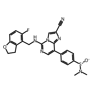 CN(C)[S+]([O-])c1ccc(-c2cnc(NCc3c(F)ccc4c3CCO4)n3cc(C#N)nc23)cc1